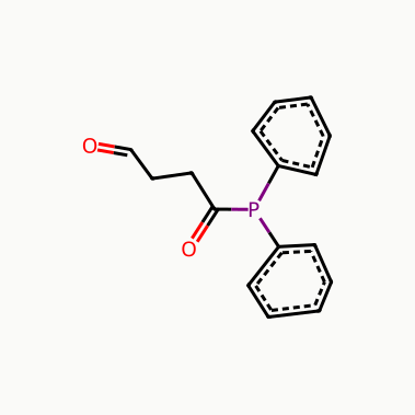 O=CCCC(=O)P(c1ccccc1)c1ccccc1